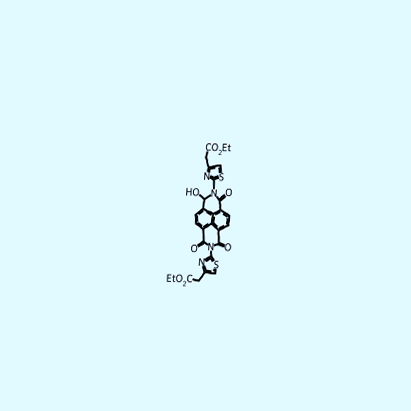 CCOC(=O)Cc1csc(N2C(=O)c3ccc4c5c(ccc(c35)C2=O)C(O)N(c2nc(CC(=O)OCC)cs2)C4=O)n1